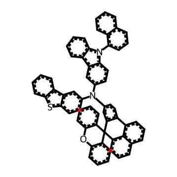 c1ccc2c(c1)Oc1ccccc1C21c2cc(N(c3ccc4sc5ccccc5c4c3)c3ccc4c(c3)c3ccccc3n4-c3cccc4ccccc34)ccc2-c2cccc3cccc1c23